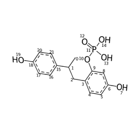 CC(Cc1ccc(O)cc1OP(=O)(O)O)c1ccc(O)cc1